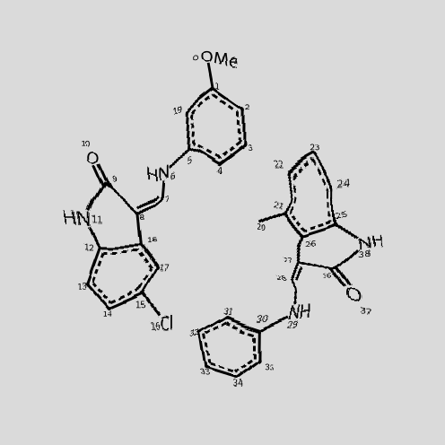 COc1cccc(NC=C2C(=O)Nc3ccc(Cl)cc32)c1.Cc1cccc2c1C(=CNc1ccccc1)C(=O)N2